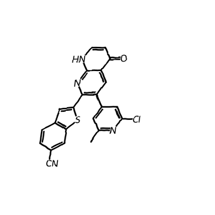 Cc1cc(-c2cc3c(=O)cc[nH]c3nc2-c2cc3ccc(C#N)cc3s2)cc(Cl)n1